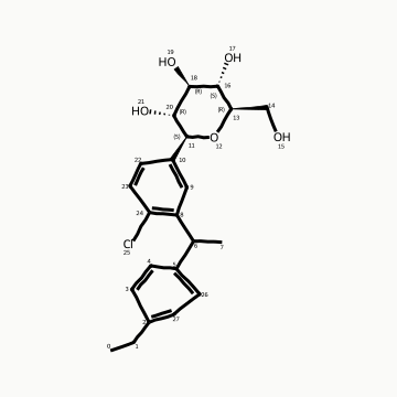 CCc1ccc(C(C)c2cc([C@@H]3O[C@H](CO)[C@@H](O)[C@H](O)[C@H]3O)ccc2Cl)cc1